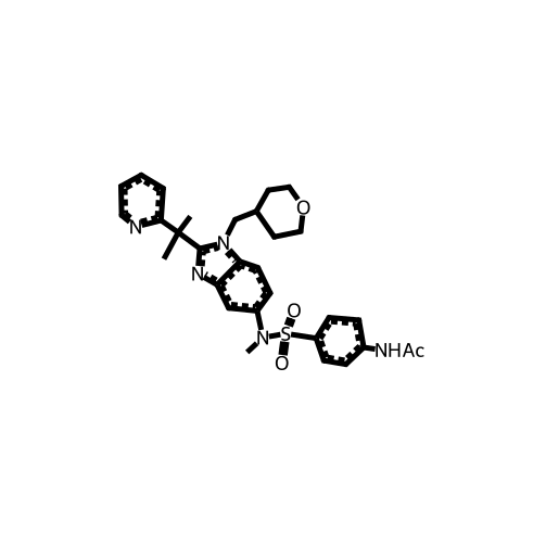 CC(=O)Nc1ccc(S(=O)(=O)N(C)c2ccc3c(c2)nc(C(C)(C)c2ccccn2)n3CC2CCOCC2)cc1